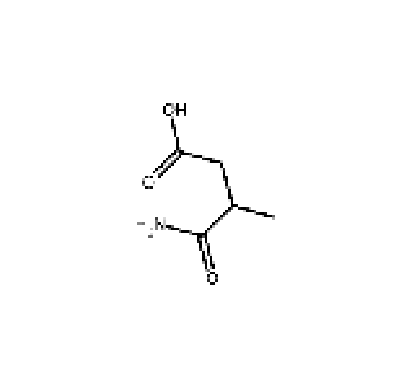 [CH2]C(CC(=O)O)C(N)=O